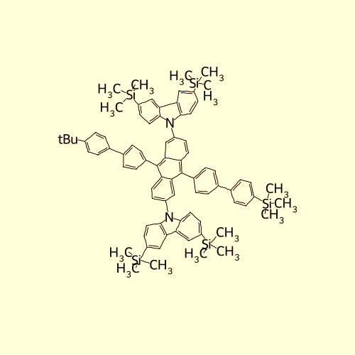 CC(C)(C)c1ccc(-c2ccc(-c3c4ccc(-n5c6ccc([Si](C)(C)C)cc6c6cc([Si](C)(C)C)ccc65)cc4c(-c4ccc(-c5ccc([Si](C)(C)C)cc5)cc4)c4ccc(-n5c6ccc([Si](C)(C)C)cc6c6cc([Si](C)(C)C)ccc65)cc34)cc2)cc1